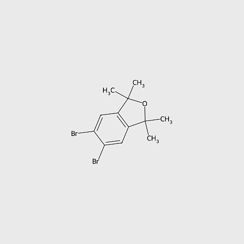 CC1(C)OC(C)(C)c2cc(Br)c(Br)cc21